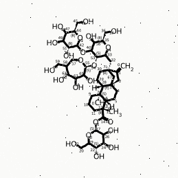 C=C1C[C@@]23CC[C@H]4[C@@](C)(CCC[C@@]4(C)C(=O)O[C@@H]4OC(CO)[C@@H](O)C(O)C4O)[C@@H]2CC[C@]1(CC1O[C@H](CO)C(O)C(OC2O[C@H](CO)C(O)C(O)[C@H]2O)[C@H]1O[C@@H]1OCC(CO)[C@@H](O)C(O)C1O)C3